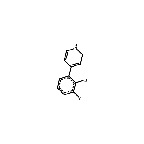 Clc1cccc(C2=CCNC=C2)c1Cl